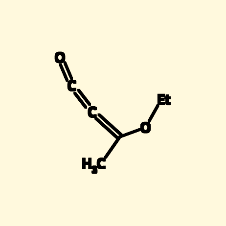 CCOC(C)=C=C=O